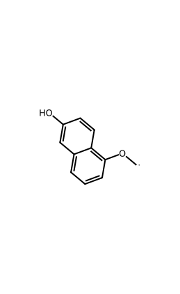 [CH2]Oc1cccc2cc(O)ccc12